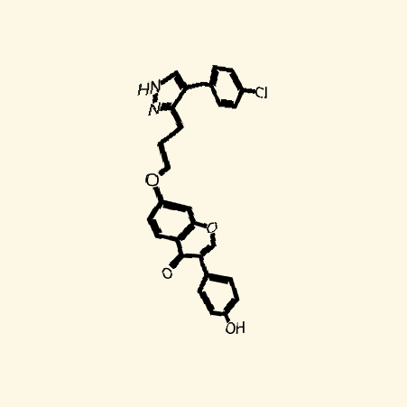 O=c1c(-c2ccc(O)cc2)coc2cc(OCCCc3n[nH]cc3-c3ccc(Cl)cc3)ccc12